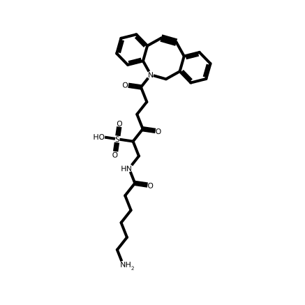 NCCCCCC(=O)NCC(C(=O)CCC(=O)N1Cc2ccccc2C#Cc2ccccc21)S(=O)(=O)O